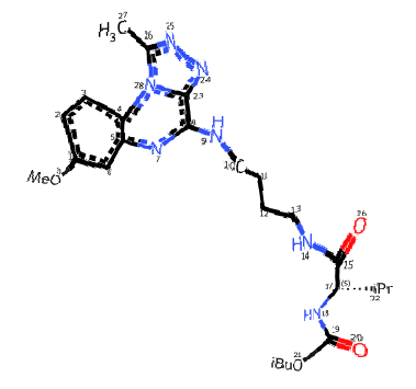 COc1ccc2c(c1)nc(NCCCCNC(=O)[C@@H](NC(=O)OCC(C)C)C(C)C)c1nnc(C)n12